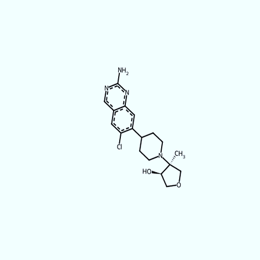 C[C@]1(N2CCC(c3cc4nc(N)ncc4cc3Cl)CC2)COC[C@H]1O